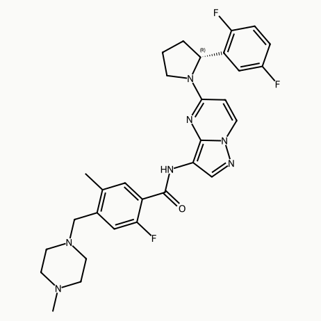 Cc1cc(C(=O)Nc2cnn3ccc(N4CCC[C@@H]4c4cc(F)ccc4F)nc23)c(F)cc1CN1CCN(C)CC1